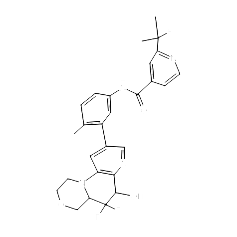 Cc1ccc(NC(=O)c2ccnc(C(C)(F)F)c2)cc1-c1cnc2c(c1)N1CCOCC1C(F)(F)C2O